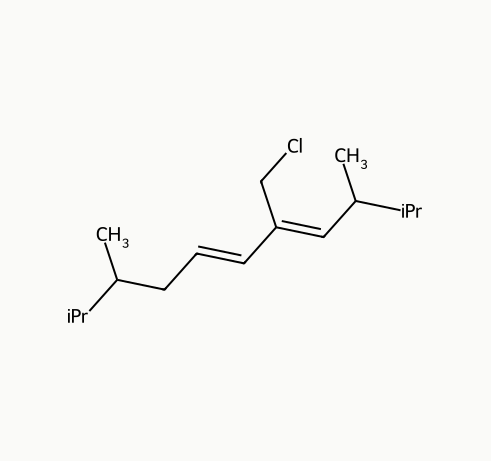 CC(C)C(C)/C=C(/C=C/CC(C)C(C)C)CCl